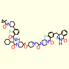 CC1(OC2CCN(CC(=O)N3CCN(C(=O)c4cc(Cc5n[nH]c(=O)c6ccccc56)ccc4F)CC3)CC2)CCN(C(=O)[C@H](NC(=O)c2cccc(C3CCCN(C(=O)C4(C)CC4)C3)c2F)C2CCCCC2)CC1